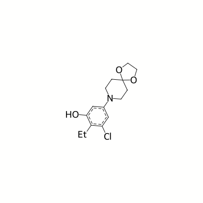 CCc1c(O)cc(N2CCC3(CC2)OCCO3)cc1Cl